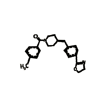 Cc1ccc(C(=O)N2CCC(=Cc3ccc(C4=NCCO4)cc3)CC2)cc1